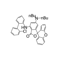 CCCCN(CCCC)c1cc(Nc2ccccc2-c2ccccc2Cl)c2c(c1)C1(OC2=O)c2ccccc2Oc2ccccc21